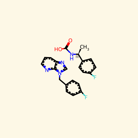 C[C@H](NC(=O)O)c1ccc(F)cc1.Fc1ccc(Cn2cnc3cccnc32)cc1